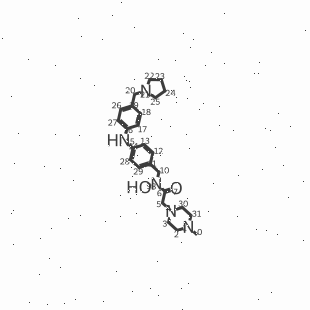 CN1CCN(CC(=O)N(O)Cc2ccc(Nc3ccc(CN4CCCC4)cc3)cc2)CC1